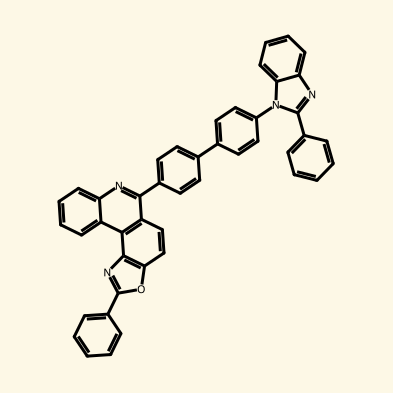 c1ccc(-c2nc3c(ccc4c(-c5ccc(-c6ccc(-n7c(-c8ccccc8)nc8ccccc87)cc6)cc5)nc5ccccc5c43)o2)cc1